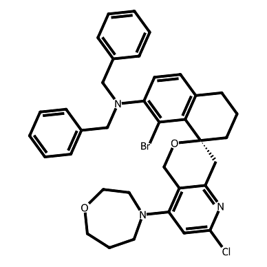 Clc1cc(N2CCCOCC2)c2c(n1)C[C@]1(CCCc3ccc(N(Cc4ccccc4)Cc4ccccc4)c(Br)c31)OC2